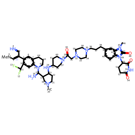 CN/C=C(\C=N)c1cc2c(cc1C(F)F)N(C(N)C1CN(C(C)=O)CCC1NC1CCN(C(=O)CN3CCN(CCCc4ccc5c(c4)n(C)c(=O)n5C4CCC(=O)NC4=O)CC3)CC1)CCC2